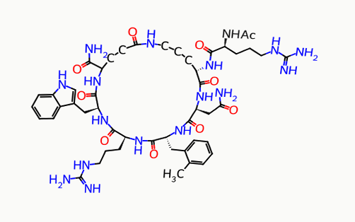 CC(=O)N[C@@H](CCCNC(=N)N)C(=O)N[C@H]1CCCNC(=O)CCC(C(N)=O)NC(=O)[C@H](Cc2c[nH]c3ccccc23)NC(=O)[C@H](CCCNC(=N)N)NC(=O)[C@@H](Cc2ccccc2C)NC(=O)[C@H](CC(N)=O)NC1=O